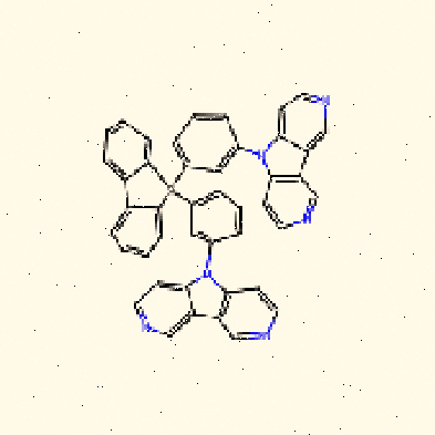 c1cc(-n2c3ccncc3c3cnccc32)cc([Si]2(c3cccc(-n4c5ccncc5c5cnccc54)c3)c3ccccc3-c3ccccc32)c1